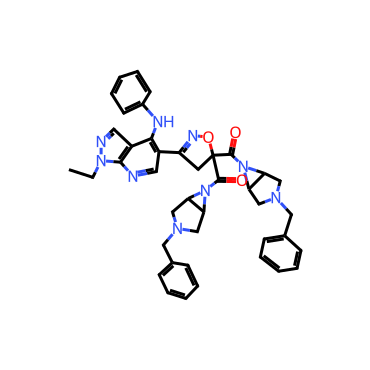 CCn1ncc2c(Nc3ccccc3)c(C3=NOC(C(=O)N4C5CN(Cc6ccccc6)CC54)(C(=O)N4C5CN(Cc6ccccc6)CC54)C3)cnc21